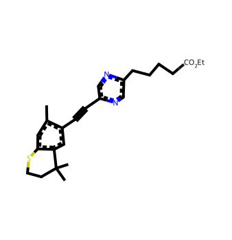 CCOC(=O)CCCCc1cnc(C#Cc2cc3c(cc2C)SCCC3(C)C)cn1